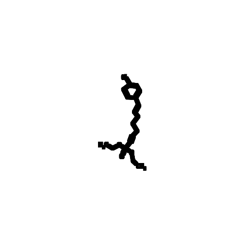 CCOP(=O)(C#CCCC/C=C/c1ccc(Cl)cc1)OCC